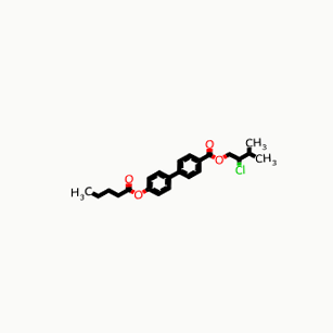 CCCCC(=O)Oc1ccc(-c2ccc(C(=O)OCC(Cl)C(C)C)cc2)cc1